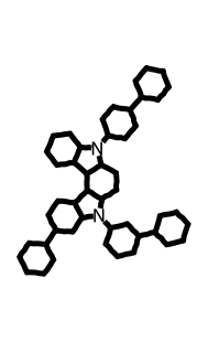 C1CCC(C2CCC(N3C4CCCCC4C4C5C6CCC(C7CCCCC7)CC6N(C6CCCC(C7CCCCC7)C6)C5CCC43)CC2)CC1